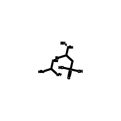 CCCCC(CC)CP(=O)(O)O.CCCCC(CCC)CCCC.N